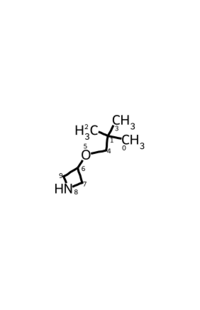 CC(C)(C)COC1CNC1